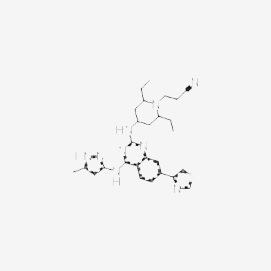 CCC1CC(Nc2nc(Nc3cc(C)[nH]n3)c3ccc(-c4cscn4)cc3n2)CC(CC)N1CCC#N